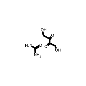 NC(N)=O.O=C(CO)C(=O)CO